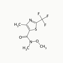 CON(C)C(=O)c1sc(C(F)(F)F)nc1C